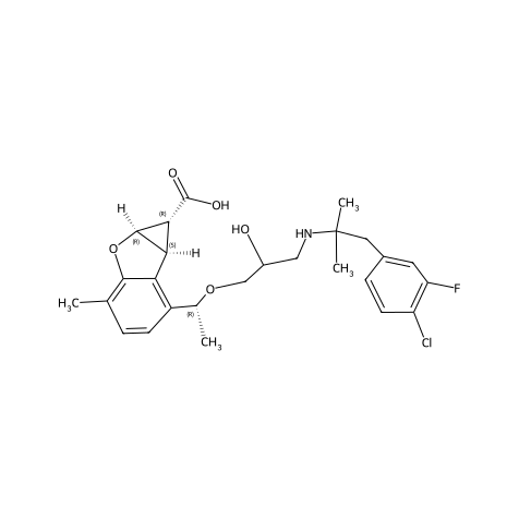 Cc1ccc([C@@H](C)OCC(O)CNC(C)(C)Cc2ccc(Cl)c(F)c2)c2c1O[C@H]1[C@H](C(=O)O)[C@@H]21